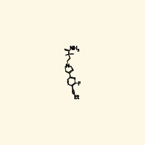 C=C(N)C(C)(C)CCN1CC=C(c2ccc(C#CCC)c(F)c2)CC1